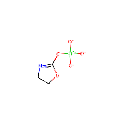 [O-][Cl+3]([O-])([O-])OC1=NCCO1